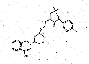 Cc1cccc(COC2CCCC(OCCN(CC(C)(C)C)C(=O)Nc3ccc(F)cc3)C2)c1C(=O)O